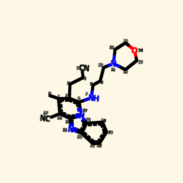 Cc1c(CCC#N)c(NCCCN2CCOCC2)n2c(nc3ccccc32)c1C#N